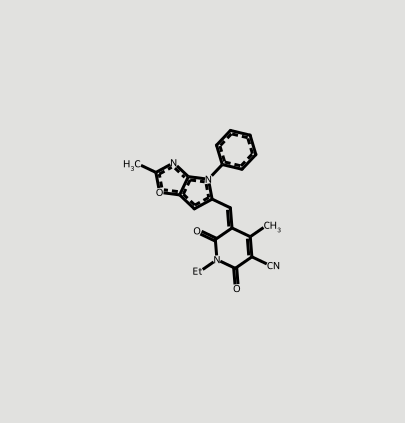 CCN1C(=O)C(C#N)=C(C)/C(=C/c2cc3oc(C)nc3n2-c2ccccc2)C1=O